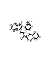 Cl.Cn1c(-c2ccccc2)c(/C=C/C(=O)N2CCc3ccccc3C2)c2cccnc21